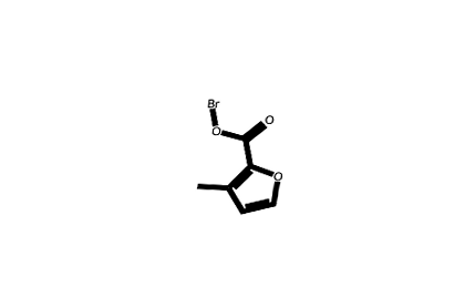 Cc1ccoc1C(=O)OBr